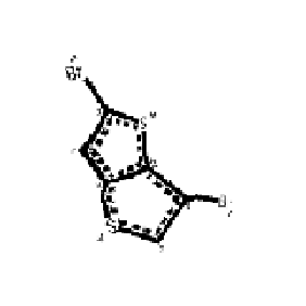 Brc1cc2scc(Br)c2s1